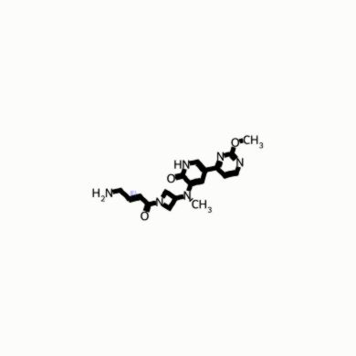 COc1nccc(-c2c[nH]c(=O)c(N(C)C3CN(C(=O)/C=C/CN)C3)c2)n1